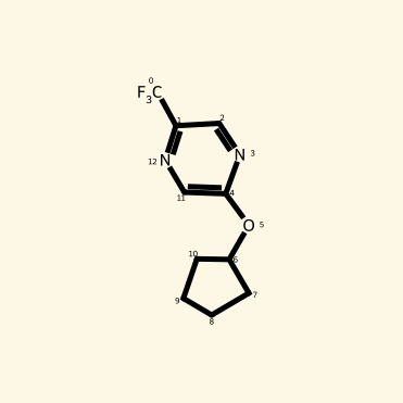 FC(F)(F)c1cnc(OC2CCCC2)cn1